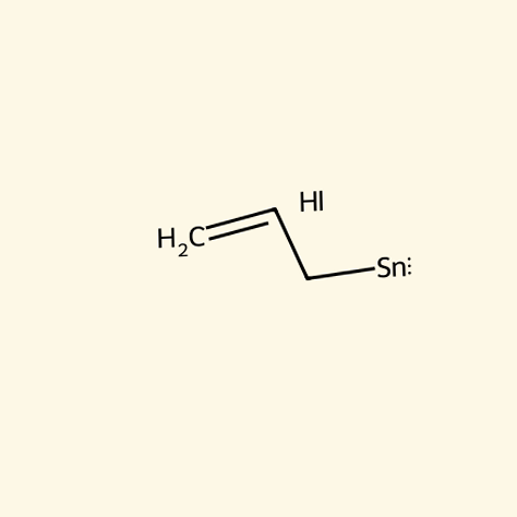 C=C[CH2][Sn].I